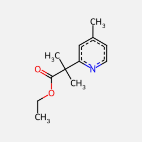 CCOC(=O)C(C)(C)c1cc(C)ccn1